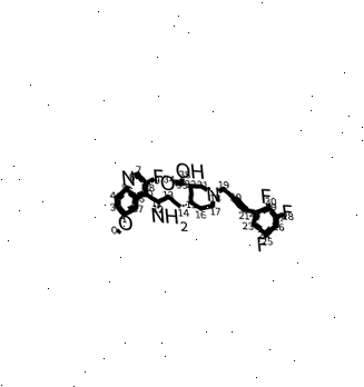 COc1ccc2ncc(F)c([C@@H](N)CC[C@H]3CCN(CC#Cc4cc(F)cc(F)c4F)C[C@H]3C(=O)O)c2c1